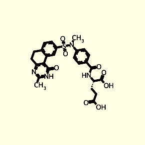 Cc1nc2c(c(=O)[nH]1)-c1cc(S(=O)(=O)N(C)c3ccc(C(=O)N[C@@H](CCC(=O)O)C(=O)O)cc3)ccc1CC2